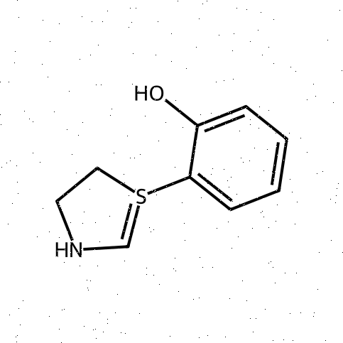 Oc1ccccc1S1=CNCC1